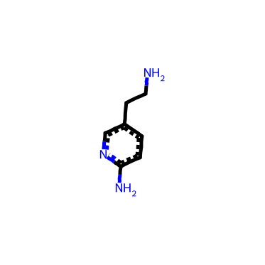 NCCc1ccc(N)nc1